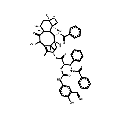 CC(=O)OC1C(=O)[C@@]2(C)C([C@H](OC(=O)c3ccccc3)[C@]3(O)C[C@H](OC(=O)[C@H](OC(=O)Nc4ccc(O)c(C=N)c4)[C@@H](NC(=O)c4ccccc4)c4ccccc4)C(C)=C1C3(C)C)[C@]1(OC(C)=O)CO[C@@H]1C[C@@H]2O